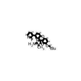 CN1C(=O)C2(N=C1N)c1cc(OCC(C)(C)C)ccc1Oc1ccc(-c3cccnc3F)cc12